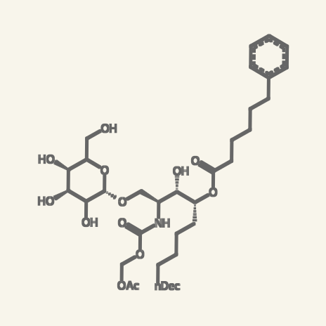 CCCCCCCCCCCCCC[C@@H](OC(=O)CCCCCc1ccccc1)[C@@H](O)[C@H](CO[C@H]1OC(CO)[C@H](O)[C@H](O)C1O)NC(=O)OCOC(C)=O